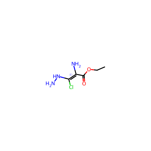 CCOC(=O)/C(N)=C(\Cl)NN